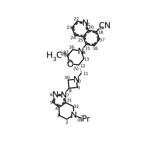 CC(C)N1CCc2cnn(C3CN(C[C@H]4CN(c5ccc(C#N)c6ncccc56)C[C@@H](C)O4)C3)c2C1